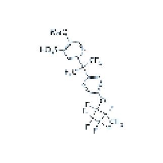 COc1ccc(C(c2ccc(OC3(F)C(C)(F)C(F)(F)C3(F)F)cc2)(C(F)(F)F)C(F)(F)F)cc1S(=O)(=O)O